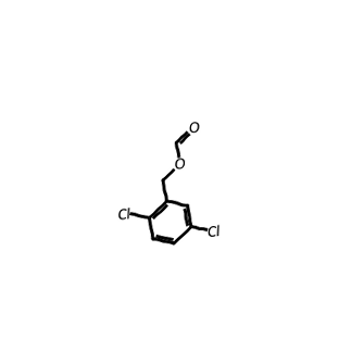 O=COCc1cc(Cl)ccc1Cl